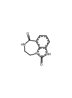 O=C1NCCn2c(=O)[nH]c3cccc1c32